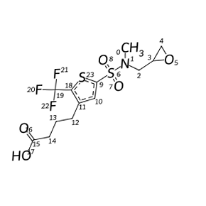 CN(CC1CO1)S(=O)(=O)c1cc(CCCC(=O)O)c(C(F)(F)F)s1